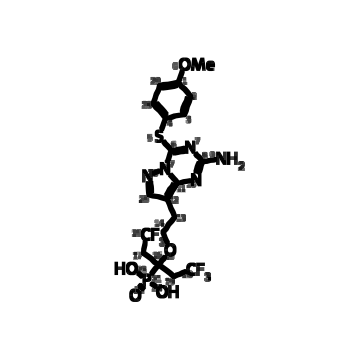 COc1ccc(Sc2nc(N)nc3c(CCOC(CC(F)(F)F)(CC(F)(F)F)P(=O)(O)O)cnn23)cc1